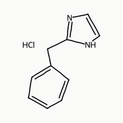 Cl.c1ccc(Cc2ncc[nH]2)cc1